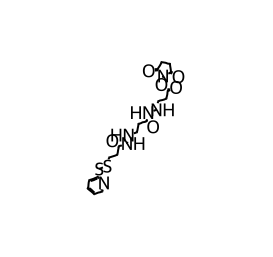 O=C(CCNNC(=O)CCSSc1ccccn1)NNCCC(=O)ON1C(=O)CCC1=O